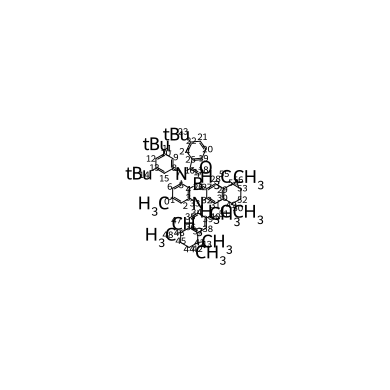 Cc1cc2c3c(c1)N(c1cc(C(C)(C)C)cc(C(C)(C)C)c1)c1c(oc4ccc(C(C)(C)C)cc14)B3c1cc3c(cc1N2c1cc2c(cc1C)C(C)(C)CCC2(C)C)C(C)(C)CCC3(C)C